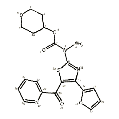 NN(C(=O)OC1CCOCC1)c1nc(-c2ccco2)c(C(=O)c2ccccn2)s1